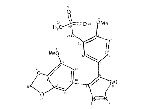 COc1ccc(-c2[nH]nnc2-c2cc(OC)c3c(c2)OCO3)cc1OS(C)(=O)=O